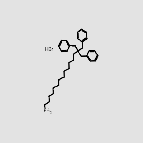 Br.PCCCCCCCCCCCCCC(Cc1ccccc1)(Cc1ccccc1)Cc1ccccc1